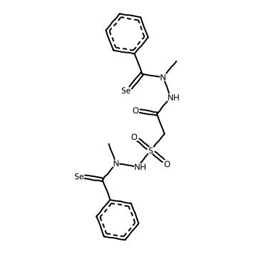 CN(NC(=O)CS(=O)(=O)NN(C)C(=[Se])c1ccccc1)C(=[Se])c1ccccc1